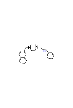 C(=C\c1ccccc1)/CN1CCN(Cc2ccc3ccccc3c2)CC1